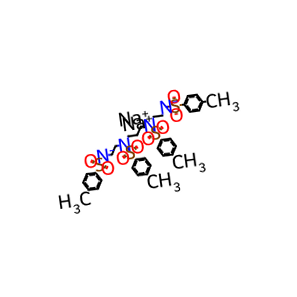 Cc1ccc(S(=O)(=O)[N-]CCN(CCCN(CC[N-]S(=O)(=O)c2ccc(C)cc2)S(=O)(=O)c2ccc(C)cc2)S(=O)(=O)c2ccc(C)cc2)cc1.[Na+].[Na+]